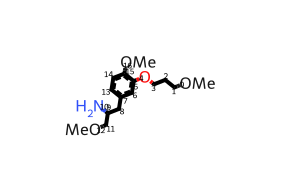 COCCCOc1cc(CC(N)COC)ccc1OC